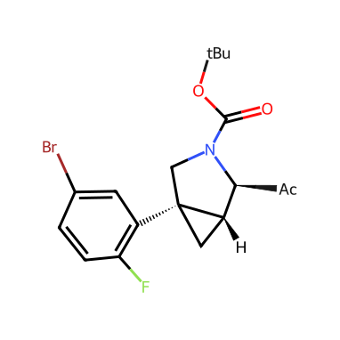 CC(=O)[C@H]1[C@@H]2C[C@@]2(c2cc(Br)ccc2F)CN1C(=O)OC(C)(C)C